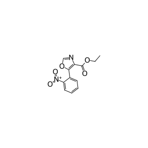 CCOC(=O)c1ncoc1-c1ccccc1[N+](=O)[O-]